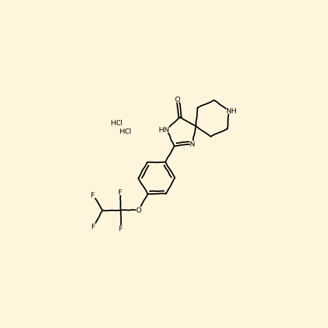 Cl.Cl.O=C1NC(c2ccc(OC(F)(F)C(F)F)cc2)=NC12CCNCC2